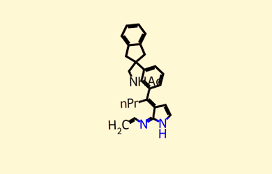 C=C/N=C1/NC=C/C1=C(/CCC)c1cccc(C2(CNC(C)=O)Cc3ccccc3C2)c1